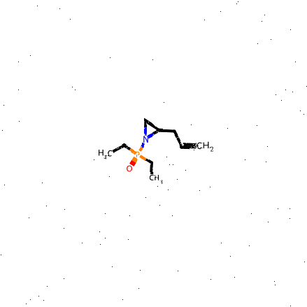 C=CCC1CN1P(=O)(CC)CC